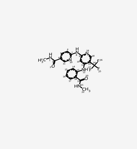 CNC(=O)c1ccc(Nc2cc(Nc3ccccc3C(=O)NC)c(C(F)(F)F)cn2)nc1